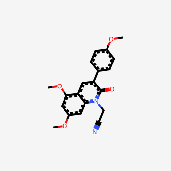 COc1ccc(-c2cc3c(OC)cc(OC)cc3n(CC#N)c2=O)cc1